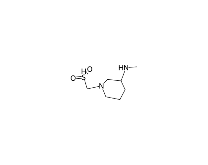 CNC1CCCN(C[SH](=O)=O)C1